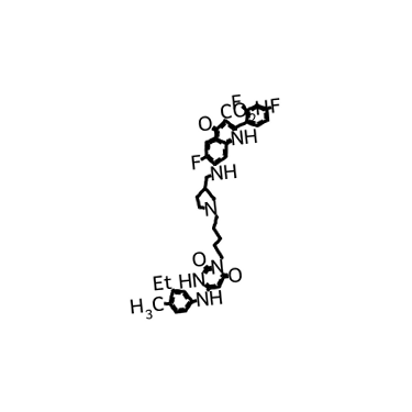 CCc1cc(Nc2cc(=O)n(CCCCCN3CCC(CNc4cc5[nH]c(-c6ccc(F)cc6F)c(C(=O)O)c(=O)c5cc4F)C3)c(=O)[nH]2)ccc1C